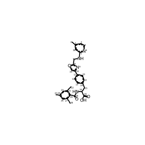 Cc1ccnc(NCc2nc(-c3ccc(CC(NC(=O)c4c(C)cc(C)cc4C)C(=O)O)cc3)co2)c1